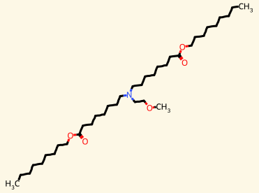 CCCCCCCCCOC(=O)CCCCCCCN(CCCCCCCC(=O)OCCCCCCCCC)CCOC